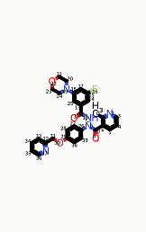 Cc1ncccc1C(=O)N(NC(=O)c1cc(F)cc(N2CCOCC2)c1)c1ccc(OCc2ccccn2)cc1